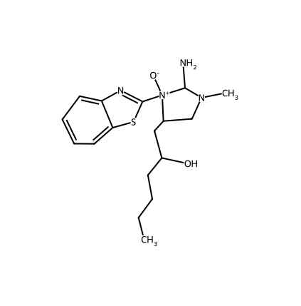 CCCCC(O)CC1CN(C)C(N)[N+]1([O-])c1nc2ccccc2s1